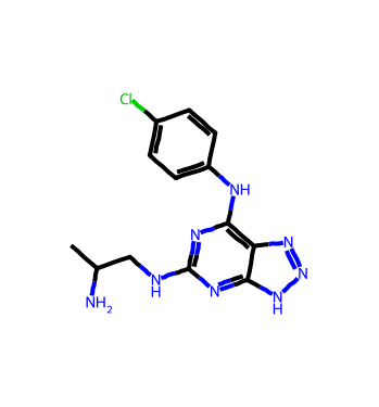 CC(N)CNc1nc(Nc2ccc(Cl)cc2)c2nn[nH]c2n1